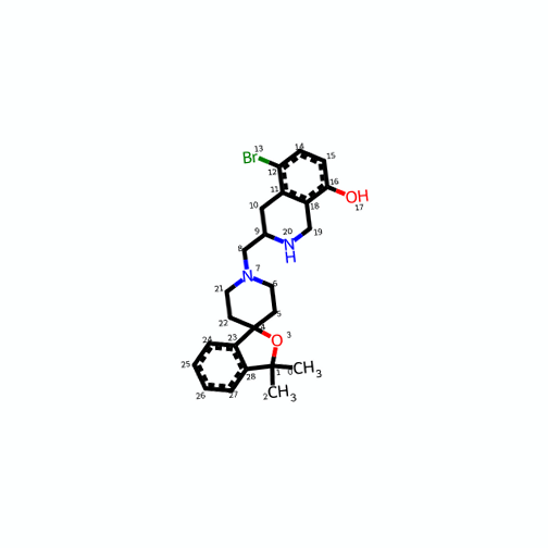 CC1(C)OC2(CCN(CC3Cc4c(Br)ccc(O)c4CN3)CC2)c2ccccc21